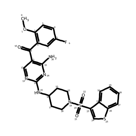 COc1ccc(F)cc1C(=O)c1cnc(NC2CCN(S(=O)(=O)c3csc4ccccc34)CC2)nc1N